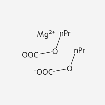 CCCOC(=O)[O-].CCCOC(=O)[O-].[Mg+2]